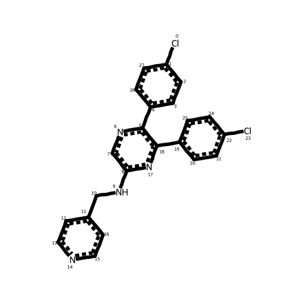 Clc1ccc(-c2ncc(NCc3ccncc3)nc2-c2ccc(Cl)cc2)cc1